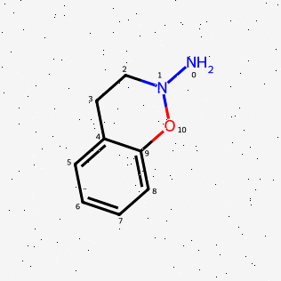 NN1CCc2ccccc2O1